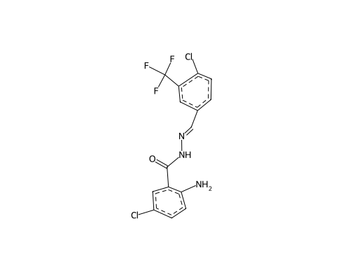 Nc1ccc(Cl)cc1C(=O)N/N=C/c1ccc(Cl)c(C(F)(F)F)c1